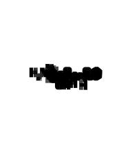 Nc1ncnc2c1ncn2C1OC(C(=O)NCCCNC(=O)Cc2ccccc2)C(O)C1O